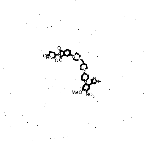 COc1cc(N2CCC(N3CCC(CN4CCN(c5ccc6c(c5)C(=O)N(C5CCC(=O)NC5=O)C6=O)CC4)CC3)CC2)c(-c2cnn(C)c2)cc1[N+](=O)[O-]